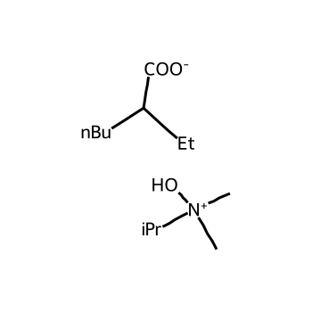 CC(C)[N+](C)(C)O.CCCCC(CC)C(=O)[O-]